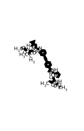 CC[C@H](C)[C@H](NC(=O)OC)C(=O)N1CCC[C@H]1c1ncc(-c2ccc(C#Cc3ccc4nc([C@@H]5CC6(CC6)CN5C(=O)[C@@H](NC(=O)OC)C(C)C)[nH]c4c3)cc2)[nH]1